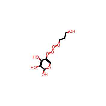 OCCCOOOOC1=COC(O)C(O)=C1O